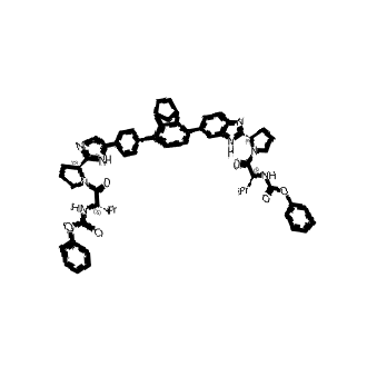 CC(C)[C@H](NC(=O)Oc1ccccc1)C(=O)N1CCC[C@H]1c1ncc(-c2ccc(-c3ccc(-c4ccc5nc([C@@H]6CCCN6C(=O)[C@@H](NC(=O)Oc6ccccc6)C(C)C)[nH]c5c4)c4c3C3CCC4C3)cc2)[nH]1